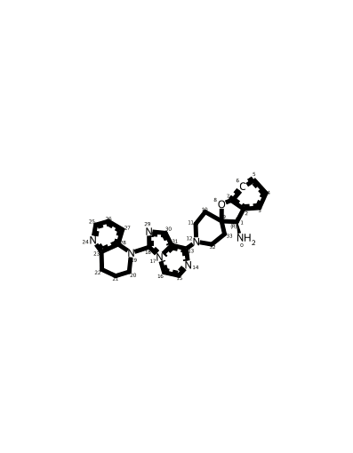 N[C@@H]1c2ccccc2OC12CCN(c1nccn3c(N4CCCc5ncccc54)ncc13)CC2